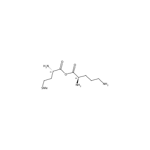 CSCC[C@H](N)C(=O)OC(=O)[C@H](N)CCCN